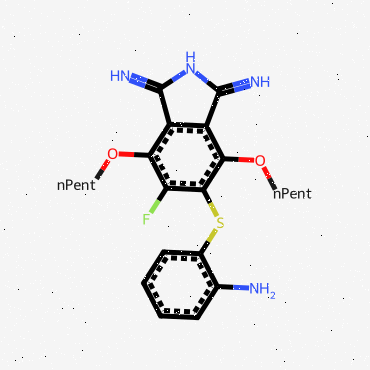 CCCCCOc1c(F)c(Sc2ccccc2N)c(OCCCCC)c2c1C(=N)NC2=N